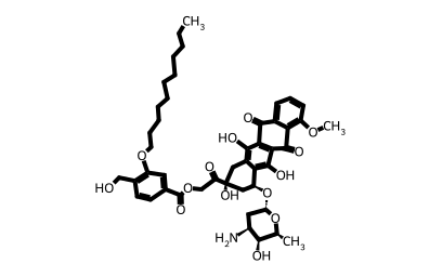 CCCCCCCCCCCOc1cc(C(=O)OCC(=O)[C@]2(O)Cc3c(O)c4c(c(O)c3[C@@H](O[C@H]3C[C@H](N)[C@H](O)[C@H](C)O3)C2)C(=O)c2c(OC)cccc2C4=O)ccc1CO